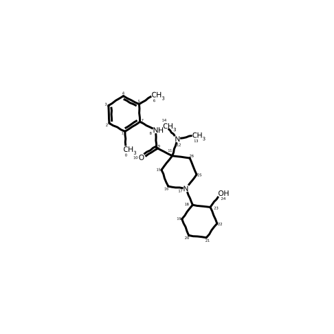 Cc1cccc(C)c1NC(=O)C1(N(C)C)CCN(C2CCCCC2O)CC1